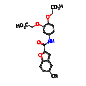 N#Cc1ccc2oc(C(=O)Nc3ccc(OCC(=O)O)c(OCC(=O)O)c3)cc2c1